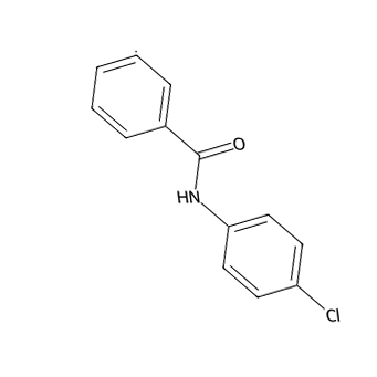 O=C(Nc1ccc(Cl)cc1)c1c[c]ccc1